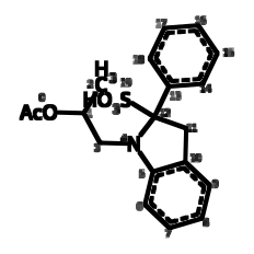 CC(=O)OC(C)CN1c2ccccc2CC1(c1ccccc1)S(=O)(=O)O